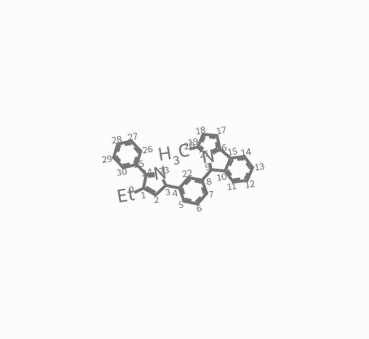 CCC1=CC(c2cccc(C3c4ccccc4-c4ccc(C)n43)c2)N=C1c1ccccc1